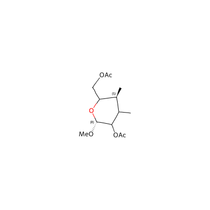 CO[C@@H]1OC(COC(C)=O)[C@@H](C)C(C)C1OC(C)=O